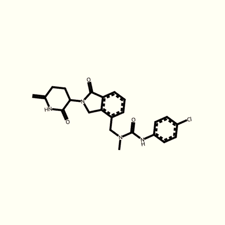 C=C1CCC(N2Cc3c(CN(C)C(=O)Nc4ccc(Cl)cc4)cccc3C2=O)C(=O)N1